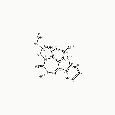 Cl.O=C1CN=C(c2ccccc2F)c2cc(Cl)ccc2N1CC(O)CO